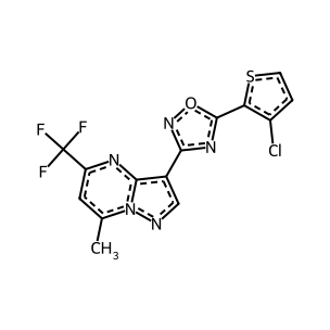 Cc1cc(C(F)(F)F)nc2c(-c3noc(-c4sccc4Cl)n3)cnn12